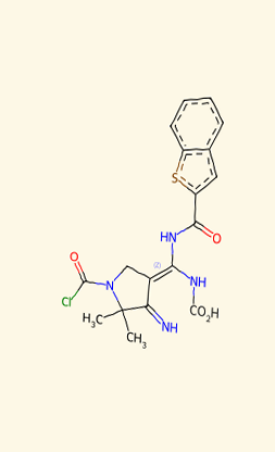 CC1(C)C(=N)/C(=C(\NC(=O)O)NC(=O)c2cc3ccccc3s2)CN1C(=O)Cl